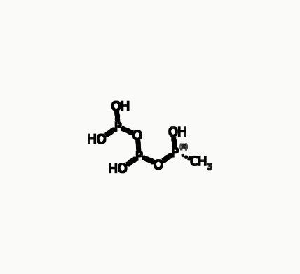 C[P@@](O)OP(O)OP(O)O